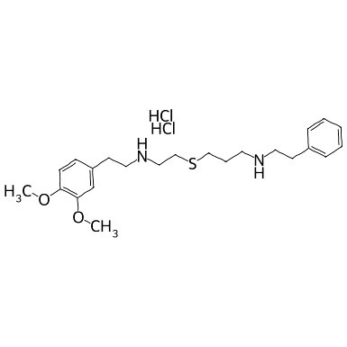 COc1ccc(CCNCCSCCCNCCc2ccccc2)cc1OC.Cl.Cl